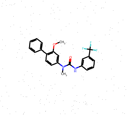 COc1cc(N(C)C(=O)Nc2cccc(C(F)(F)F)c2)ccc1-c1ccccc1